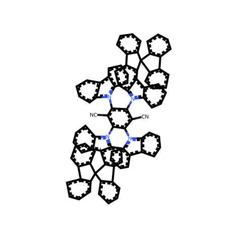 N#Cc1c(-n2c3ccccc3c3ccccc32)c(-n2c3ccccc3c3c4c(ccc32)-c2ccccc2C42c3ccccc3-c3ccccc32)c(C#N)c(-n2c3ccccc3c3ccccc32)c1-n1c2ccccc2c2c3c(ccc21)-c1ccccc1C31c2ccccc2-c2ccccc21